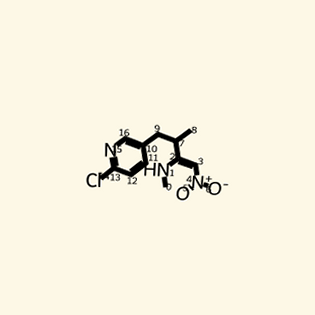 CNC(=C[N+](=O)[O-])C(C)Cc1ccc(Cl)nc1